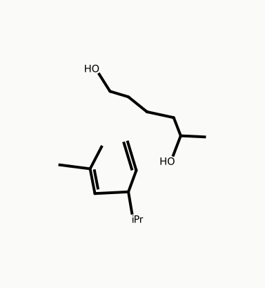 C=CC(C=C(C)C)C(C)C.CC(O)CCCCO